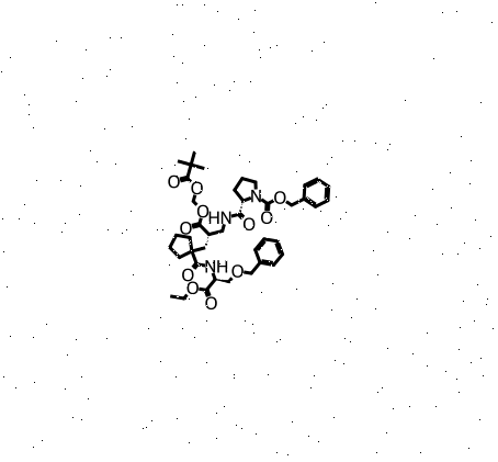 CCOC(=O)[C@H](COCc1ccccc1)NC(=O)C1(C[C@@H](CNC(=O)[C@@H]2CCCN2C(=O)OCc2ccccc2)C(=O)OCOC(=O)C(C)(C)C)CCCC1